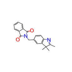 CC1=Nc2ccc(CN3C(=O)c4ccccc4C3=O)cc2C1(C)C